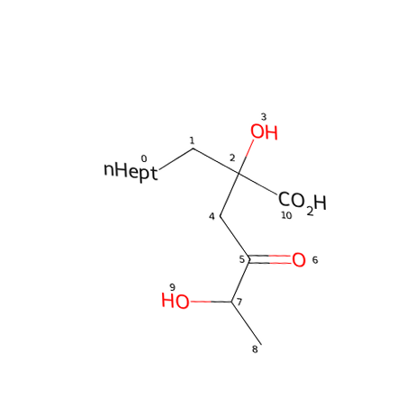 CCCCCCCCC(O)(CC(=O)C(C)O)C(=O)O